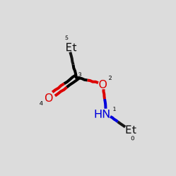 [CH2]CNOC(=O)CC